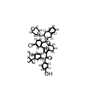 CN1CC(C)(C)c2cc(N(C(=O)c3cc(-c4cc(Cl)ccc4C(=O)N4Cc5ccccc5C[C@H]4CN4CCOCC4)n4c3CCCC4)c3ccc(O)cc3)ccc21